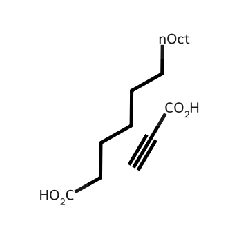 C#CC(=O)O.CCCCCCCCCCCCCC(=O)O